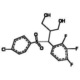 O=S(=O)(c1ccc(Cl)cc1)C(c1ccc(F)c(F)c1F)C(CO)CO